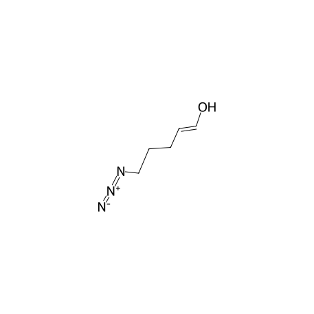 [N-]=[N+]=NCCCC=CO